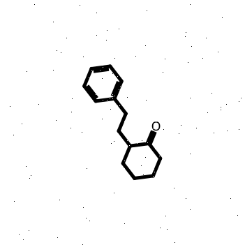 O=C1CCCCC1CCc1ccccc1